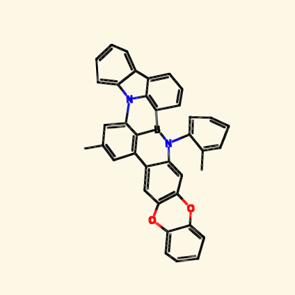 Cc1cc2c3c(c1)-n1c4ccccc4c4cccc(c41)B3N(c1ccccc1C)c1cc3c(cc1-2)Oc1ccccc1O3